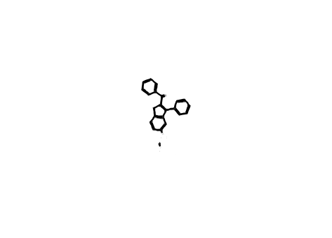 CCOc1ccc2c(c1)C(c1ccccc1)=C(C(=O)c1ccccc1)C2